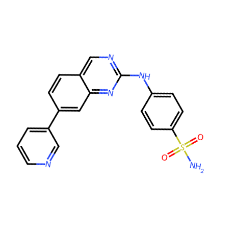 NS(=O)(=O)c1ccc(Nc2ncc3ccc(-c4cccnc4)cc3n2)cc1